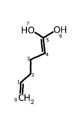 C=CCCC=C(O)O